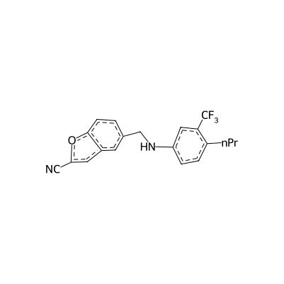 CCCc1ccc(NCc2ccc3oc(C#N)cc3c2)cc1C(F)(F)F